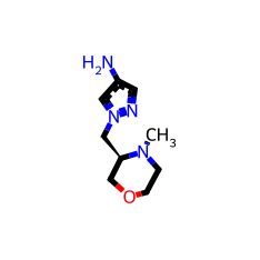 CN1CCOC[C@H]1Cn1cc(N)cn1